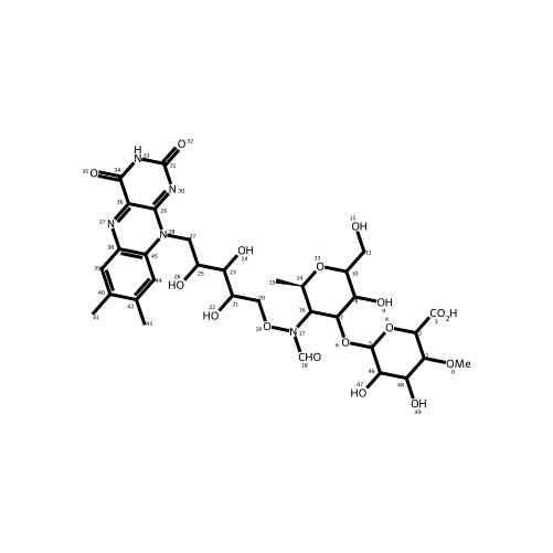 COC1C(C(=O)O)OC(OC2C(O)C(CO)O[C@H](C)C2N(C=O)OCC(O)C(O)C(O)Cn2c3nc(=O)[nH]c(=O)c-3nc3cc(C)c(C)cc32)C(O)C1O